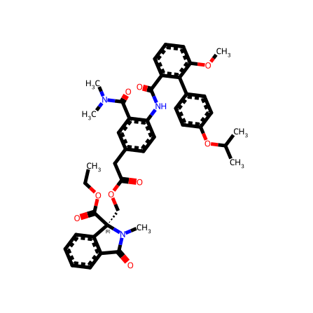 CCOC(=O)[C@]1(COC(=O)Cc2ccc(NC(=O)c3cccc(OC)c3-c3ccc(OC(C)C)cc3)c(C(=O)N(C)C)c2)c2ccccc2C(=O)N1C